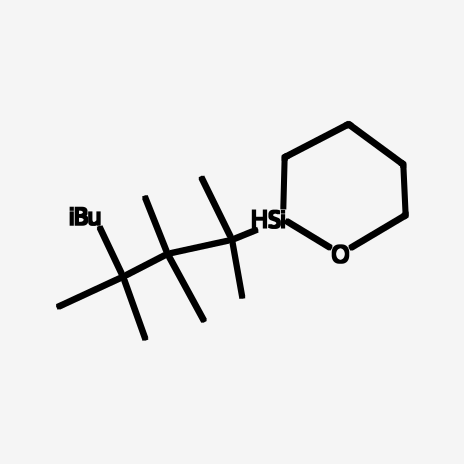 CCC(C)C(C)(C)C(C)(C)C(C)(C)[SiH]1CCCCO1